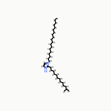 CCCCCCCCCCCCCCCCCCC[n+]1cc[nH]c1CCCCCCCCCCCC(C)C